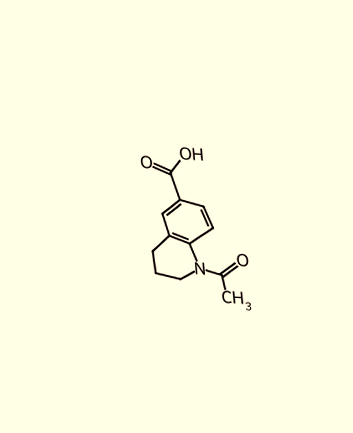 CC(=O)N1CCCc2cc(C(=O)O)ccc21